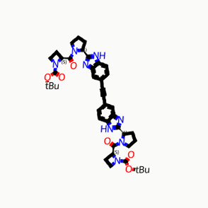 CC(C)(C)OC(=O)N1CC[C@H]1C(=O)N1CCC[C@H]1c1nc2cc(C#Cc3ccc4[nH]c([C@@H]5CCCN5C(=O)[C@@H]5CCN5C(=O)OC(C)(C)C)nc4c3)ccc2[nH]1